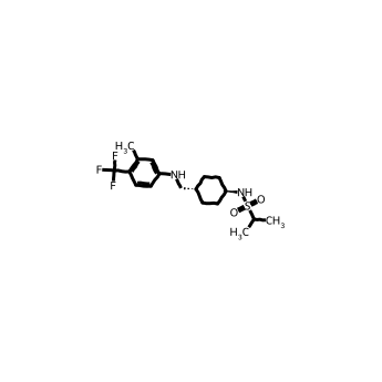 Cc1cc(NC[C@H]2CC[C@H](NS(=O)(=O)C(C)C)CC2)ccc1C(F)(F)F